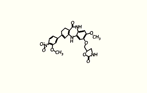 COc1cc2c(cc1OCC1CNC(=O)O1)NC1=C(CCC(c3ccc([N+](=O)[O-])c(OC)c3)=C1)C(=O)N2